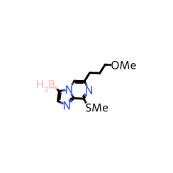 Bc1cnc2c(SC)nc(CCCOC)cn12